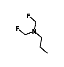 CCCN(CF)CF